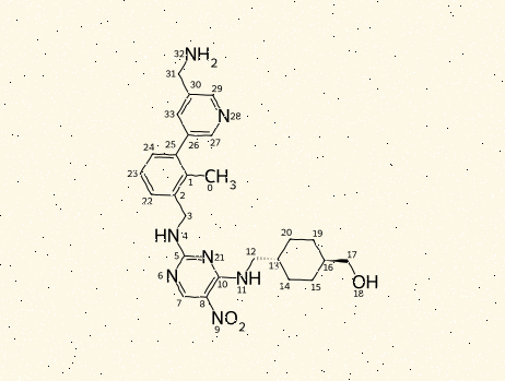 Cc1c(CNc2ncc([N+](=O)[O-])c(NC[C@H]3CC[C@H](CO)CC3)n2)cccc1-c1cncc(CN)c1